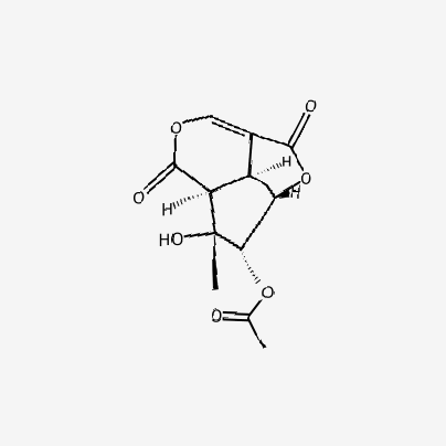 CC(=O)O[C@H]1[C@H]2OC(=O)C3=COC(=O)[C@@H]([C@@H]32)[C@@]1(C)O